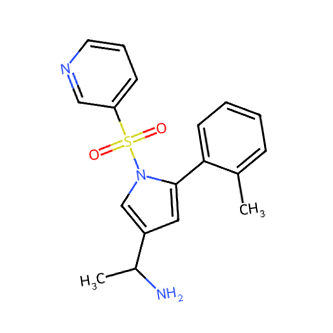 Cc1ccccc1-c1cc(C(C)N)cn1S(=O)(=O)c1cccnc1